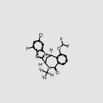 [2H]C([2H])([2H])N1C(=O)c2cccc(OC(F)F)c2[C@H]2C[C@@H]1c1nc3c(F)cc(Cl)cc3n12